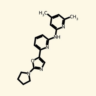 Cc1cc(C)nc(Nc2cccc(-c3cnc(N4CCCC4)o3)n2)c1